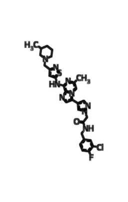 Cc1cn2c(-c3cnn(CC(=O)NCc4ccc(F)c(Cl)c4)c3)cnc2c(Nc2cc(CN3CCCC(C)C3)ns2)n1